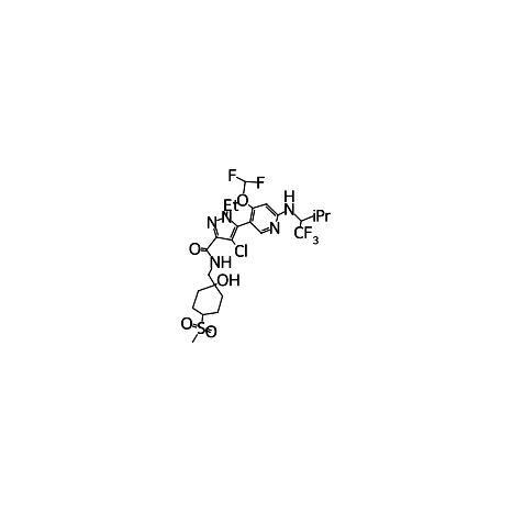 CCn1nc(C(=O)NCC2(O)CCC(S(C)(=O)=O)CC2)c(Cl)c1-c1cnc(NC(C(C)C)C(F)(F)F)cc1OC(F)F